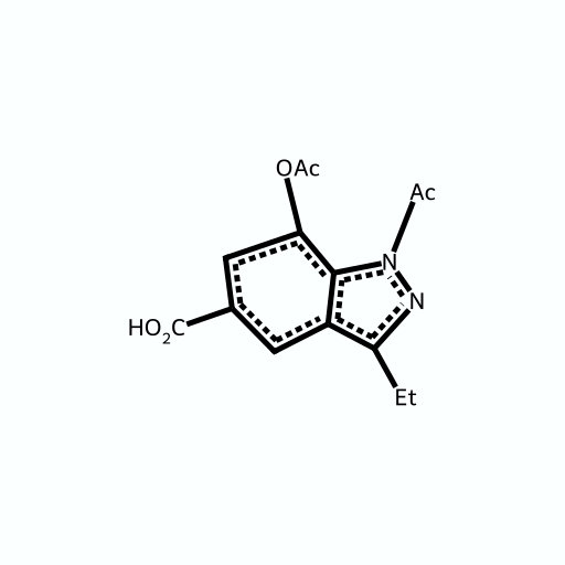 CCc1nn(C(C)=O)c2c(OC(C)=O)cc(C(=O)O)cc12